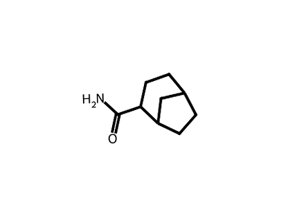 NC(=O)C1CCC2CCC1C2